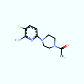 CC(=O)N1CCN(c2ccc(F)c(N)n2)CC1